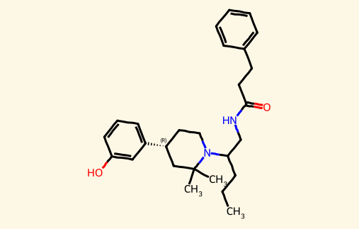 CCCC(CNC(=O)CCc1ccccc1)N1CC[C@@H](c2cccc(O)c2)CC1(C)C